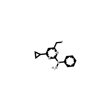 NN(c1ccccc1)c1nc(CF)cc(C2CC2)n1